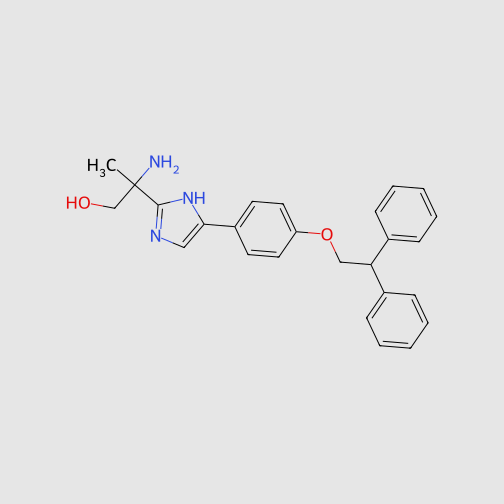 CC(N)(CO)c1ncc(-c2ccc(OCC(c3ccccc3)c3ccccc3)cc2)[nH]1